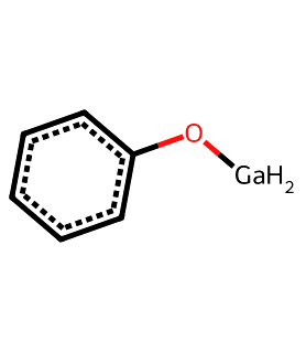 [GaH2][O]c1ccccc1